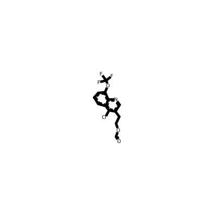 O=COCCc1cnc2c(OC(F)(F)F)cccc2c1Cl